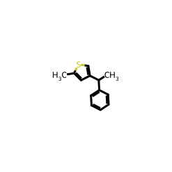 Cc1cc(C(C)c2ccccc2)cs1